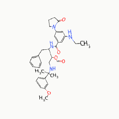 CCNc1cc(C(=O)NC(Cc2ccccc2)C(CNC(C)(C)c2cccc(OC)c2)OC=O)cc(N2CCCC2=O)c1